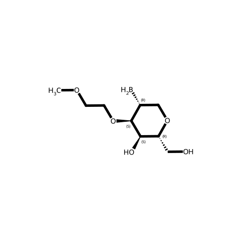 B[C@@H]1CO[C@H](CO)[C@@H](O)[C@H]1OCCOC